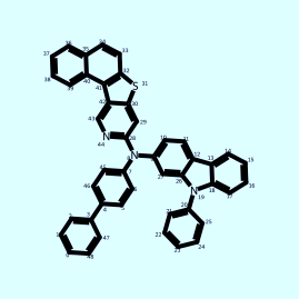 c1ccc(-c2ccc(N(c3ccc4c5ccccc5n(-c5ccccc5)c4c3)c3cc4sc5ccc6ccccc6c5c4cn3)cc2)cc1